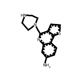 Nc1ccc2c(c1)nc(N1CCNCC1)c1ccsc12